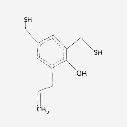 C=CCc1cc(CS)cc(CS)c1O